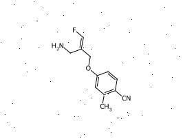 Cc1cc(OC/C(=C/F)CN)ccc1C#N